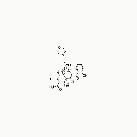 CN(C)[C@@H]1C(O)=C(C(N)=O)C(=O)[C@@]2(O)C(O)=C3C(=O)c4c(O)cccc4C[C@H]3[C@H](OC(=O)CCN3CCOCC3)[C@@H]12